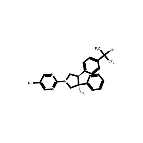 C[C@]1(c2ccccc2)CN(c2ncc(C#N)cn2)C[C@H]1c1ccc(C(O)(C(F)(F)F)C(F)(F)F)cc1